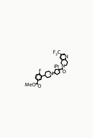 COC(=O)c1ccc(F)c(C2CCN([C@@H]3CC[C@@](C(=O)N4CCc5ncc(C(F)(F)F)cc5C4)(C(C)C)C3)CC2)c1